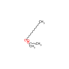 CCCCCCCCCCCCCCCC(=O)OOC(CC)CCCCC